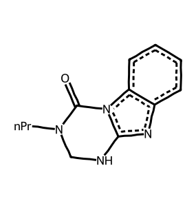 CCCN1CNc2nc3ccccc3n2C1=O